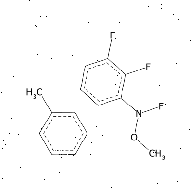 CON(F)c1cccc(F)c1F.Cc1ccccc1